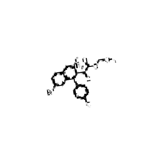 CCOC(=O)C(=O)c1c(C)cc2ccc(Br)cc2c1-c1ccc(Cl)cc1